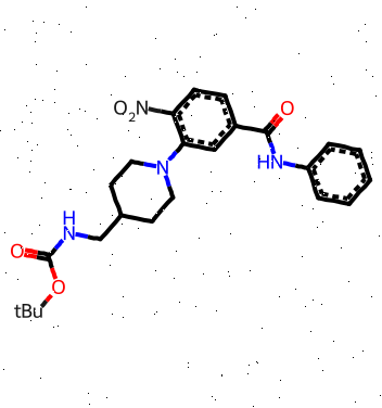 CC(C)(C)OC(=O)NCC1CCN(c2cc(C(=O)Nc3ccccc3)ccc2[N+](=O)[O-])CC1